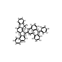 CC1(C)c2ccccc2-c2ccc3c4c5ccccc5ccc4n(-c4nc5c6c(cccc6n4)N(c4ccccc4)c4ccccc4-5)c3c21